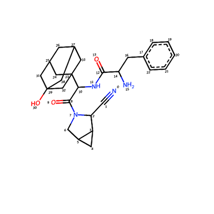 N#CC1C2CC2CN1C(=O)C(NC(=O)C(N)Cc1ccccc1)C12CC3CC(CC(O)(C3)C1)C2